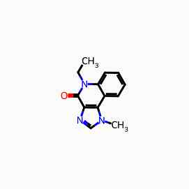 CCn1c(=O)c2ncn(C)c2c2ccccc21